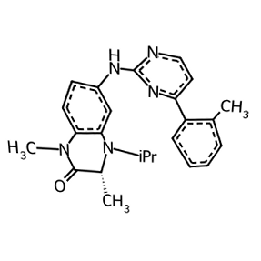 Cc1ccccc1-c1ccnc(Nc2ccc3c(c2)N(C(C)C)[C@H](C)C(=O)N3C)n1